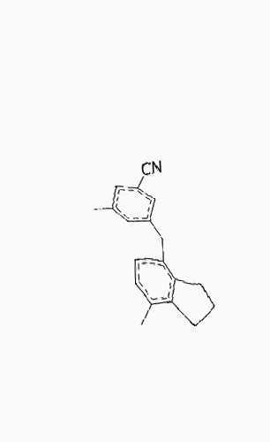 Cc1cc(C#N)cc(Cc2ccc(C)c3c2CCC3)c1